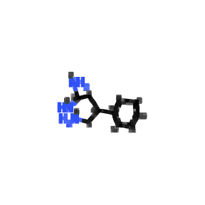 N=C(N)CC(CN)c1ccccc1